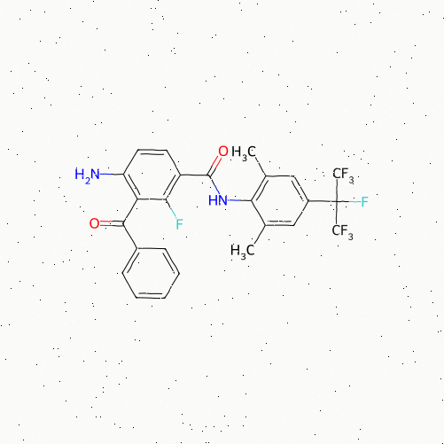 Cc1cc(C(F)(C(F)(F)F)C(F)(F)F)cc(C)c1NC(=O)c1ccc(N)c(C(=O)c2ccccc2)c1F